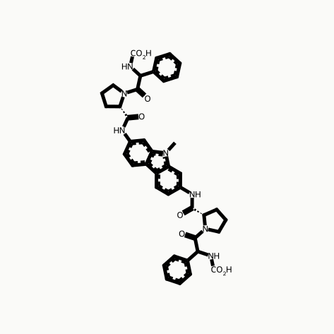 Cn1c2cc(NC(=O)[C@@H]3CCCN3C(=O)C(NC(=O)O)c3ccccc3)ccc2c2ccc(NC(=O)[C@@H]3CCCN3C(=O)C(NC(=O)O)c3ccccc3)cc21